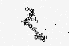 Cc1cc(-c2n[nH]c3ncc(-c4ccc(C5CCN(CCc6ccc(C7CCC(=O)NC7=O)c7c6CCCC7)CC5)cc4)cc23)ccc1CNC(=O)c1nc(C(C)(C)C)no1